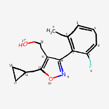 Cc1cccc(F)c1-c1noc(C2CC2)c1CO